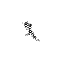 CN1CCN(C2CCN(c3ccc(Nc4ncc(Cl)c(Nc5ccccc5P(C)(C)=O)n4)cc3OCCO)CC2)CC1